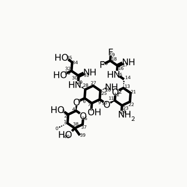 C[C@@H]1C(O)[C@@H](OC2C(O)C(O[C@H]3O[C@H](CNC(=N)C(F)F)CCC3N)[C@@H](N)C[C@H]2NC(=N)C(O)CO)OCC1(C)O